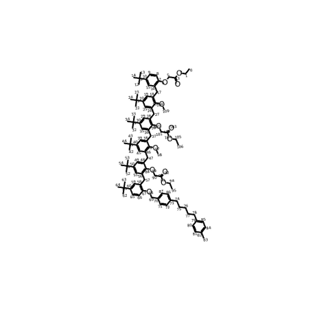 CCOC(=O)COc1ccc(C(C)(C)C)cc1Cc1cc(C(C)(C)C)cc(Cc2cc(C(C)(C)C)cc(Cc3cc(C(C)(C)C)cc(Cc4cc(C(C)(C)C)cc(Cc5cc(C(C)(C)C)ccc5OCc5ccc(CCCCCc6ccc(C)cc6)cc5)c4OCC(=O)OCC)c3OC)c2OCC(=O)OCC)c1OC